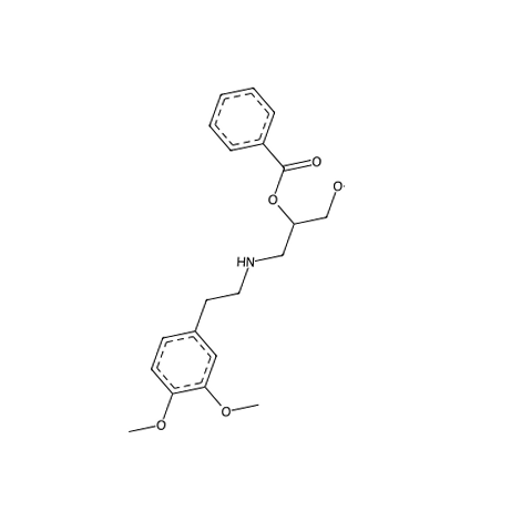 COc1ccc(CCNCC(C[O])OC(=O)c2ccccc2)cc1OC